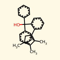 CC1=C(C)C(C)=C(c2ccccc2C(O)(c2ccccc2)c2ccccc2)C1